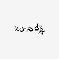 CC(C)(F)CN1CCC(COc2ccc(-c3ccc(C(=O)N4CCC[C@H]4CO)c(F)c3)cn2)CC1